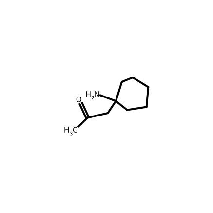 CC(=O)CC1(N)CCCCC1